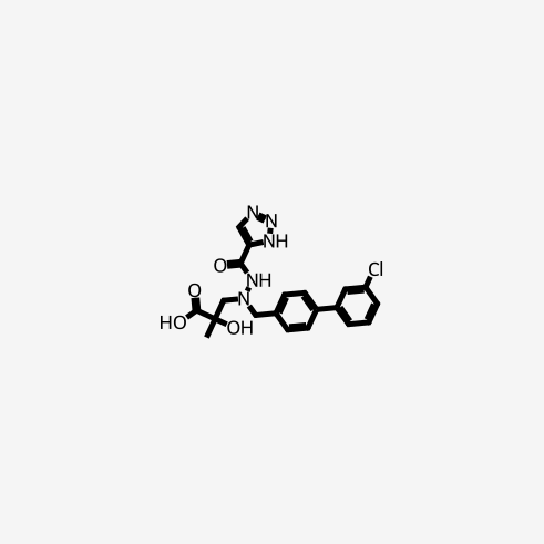 CC(O)(CN(Cc1ccc(-c2cccc(Cl)c2)cc1)NC(=O)c1cnn[nH]1)C(=O)O